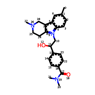 Cc1ccc2c(c1)c1c(n2CC(O)c2ccc(C(=O)N(C)C)cc2)CCN(C)C1